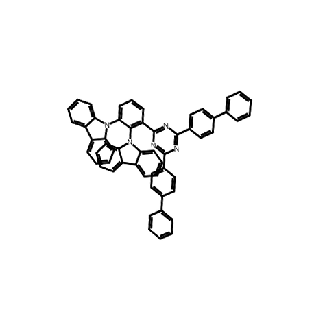 c1ccc(-c2ccc(-c3nc(-c4ccc(-c5ccccc5)cc4)nc(-c4cccc(-n5c6ccccc6c6ccccc65)c4-n4c5ccccc5c5ccccc54)n3)cc2)cc1